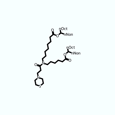 CCCCCCCCCC(CCCCCCCC)OC(=O)CCCCCCCN(CCCCCC(=O)OC(CCCCCCCC)CCCCCCCCC)C(=O)CCN1CCSCC1